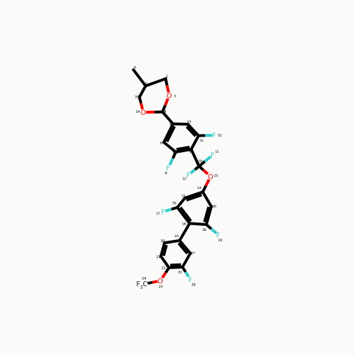 CC1COC(c2cc(F)c(C(F)(F)Oc3cc(F)c(-c4ccc(OC(F)(F)F)c(F)c4)c(F)c3)c(F)c2)OC1